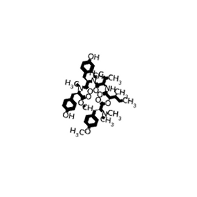 CC[C@@H](C)[C@H](OC(=O)[C@@H](Cc1ccc(OC)cc1)N(C)C)C(=O)N[C@@H](C(=O)N(C)[C@H](Cc1ccc(O)cc1)C(=O)N(C)[C@H](Cc1ccc(O)cc1)C(=O)OC)C(C)C